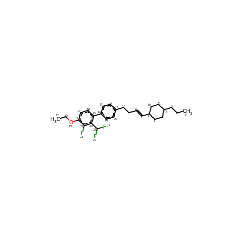 CCCC1CCC(/C=C/CCc2ccc(-c3ccc(OCC)c(F)c3C(F)F)cc2)CC1